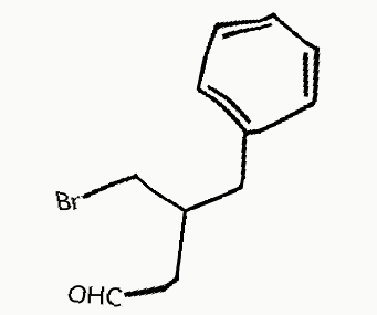 O=CCC(CBr)Cc1ccccc1